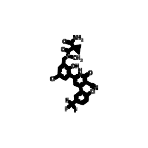 CN(Cc1cc(Cl)cc(-c2cc(-c3cc(C(F)(F)F)ccc3Cl)c(C#N)c(=O)[nH]2)c1O)C(=O)C1(C(N)=O)CC1